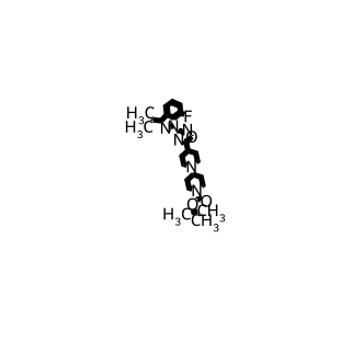 CC(C)c1nn(-c2noc(C3CCN(C4CCN(C(=O)OC(C)(C)C)CC4)CC3)n2)c2c(F)cccc12